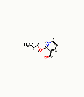 CCCOc1ncccc1C=O